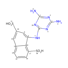 Nc1nc(N)nc(Nc2cc(S(=O)(=O)O)cc3cccc(S(=O)(=O)O)c23)n1